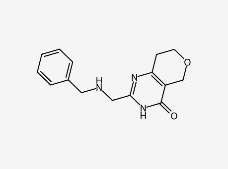 O=c1[nH]c(CNCc2ccccc2)nc2c1COCC2